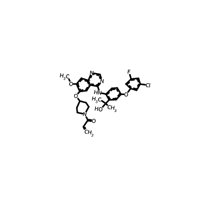 C=CC(=O)N1CCC(Oc2cc3c(Nc4ccc(Oc5cc(F)cc(Cl)c5)cc4C(C)(C)O)ncnc3cc2OC)CC1